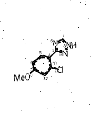 COc1ccc(-c2nc[nH]n2)c(Cl)c1